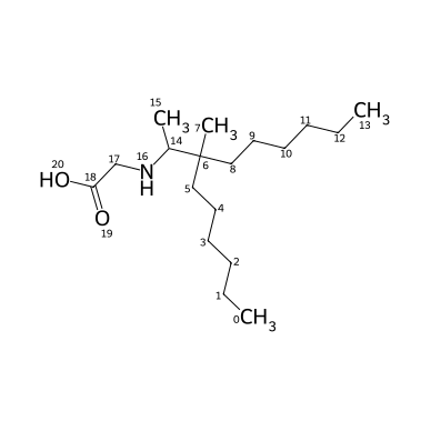 CCCCCCC(C)(CCCCCC)C(C)NCC(=O)O